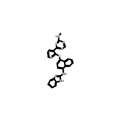 CNc1ncnc(-c2cccnc2Oc2ccc(Nc3nc4ccccc4[nH]3)c3ccccc23)n1